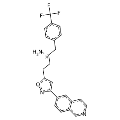 N[C@@H](CCc1cc(-c2ccc3cnccc3c2)no1)Cc1ccc(C(F)(F)F)cc1